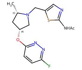 CC(=O)Nc1ncc(CN2C[C@H](Oc3ccc(F)nn3)C[C@@H]2C)s1